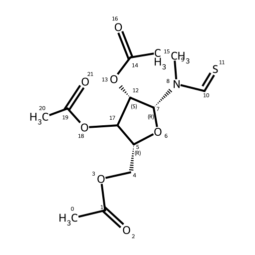 CC(=O)OC[C@H]1O[C@@H](N(C)C=S)[C@@H](OC(C)=O)C1OC(C)=O